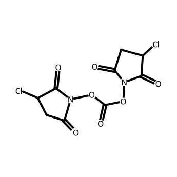 O=C(ON1C(=O)CC(Cl)C1=O)ON1C(=O)CC(Cl)C1=O